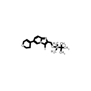 CC(C)(C)[Si](C)(C)OCc1nc2ccc(C3=CCOCC3)cn2c1I